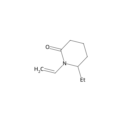 C=CN1C(=O)CCCC1CC